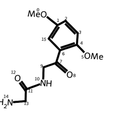 COc1ccc(OC)c(C(=O)CNC(=O)CN)c1